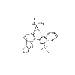 COC1(O)C2c3c(cc(C(C)(C)C)c4ccccc34)-c3c4sc5ccsc5c4cc[n+]3C21